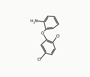 Nc1ccccc1Oc1cc(Cl)ccc1Cl